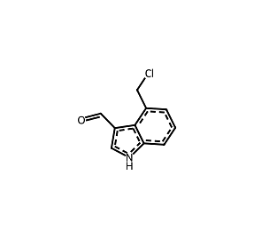 O=Cc1c[nH]c2cccc(CCl)c12